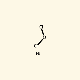 ClOCl.[N]